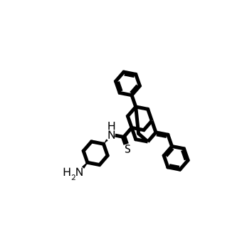 N[C@H]1CC[C@H](NC(=S)C23CC4CC(c5ccccc5)(CC(C2)C4=Cc2ccccc2)C3)CC1